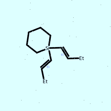 CC/C=C/[Si]1(/C=C/CC)CCCCC1